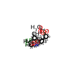 COC(=O)CS(=O)(=O)c1cccc(-c2ccc(CN(Cc3ccc(C(F)(F)F)o3)S(=O)(=O)c3c(C)cc(C)cc3C)cc2)c1